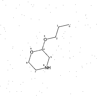 [CH2]CCOC1CNCCO1